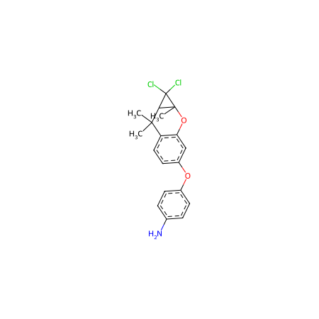 CC1(C)c2ccc(Oc3ccc(N)cc3)cc2OC2(C)C1C2(Cl)Cl